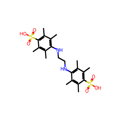 Cc1c(C)c(S(=O)(=O)O)c(C)c(C)c1NCCNc1c(C)c(C)c(S(=O)(=O)O)c(C)c1C